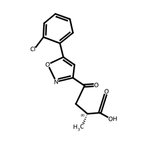 C[C@H](CC(=O)c1cc(-c2ccccc2Cl)on1)C(=O)O